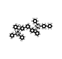 c1ccc(-c2ccc(-c3nc(-c4ccccc4)nc(-n4c5ccccc5c5ccc(-c6cccc(-c7ccc8c(c7)Oc7ccccc7N8c7nc(-c8ccccc8)nc(-c8ccccc8)n7)c6)cc54)n3)cc2)cc1